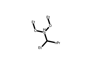 [CH2]CC(CCC)[SiH](OCC)OCC